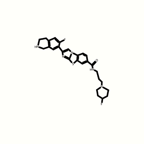 O=C(NCCCN1CCC(F)CC1)c1ccc2c(c1)sc1nc(-c3cc4c(cc3F)CCNC4)cn12